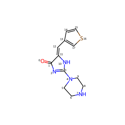 O=C1N=C(N2CCNCC2)N/C1=C\c1ccsc1